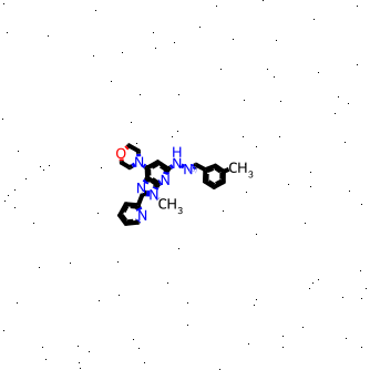 Cc1cccc(/C=N/Nc2cc(N3CCOCC3)c3nc(-c4ccccn4)n(C)c3n2)c1